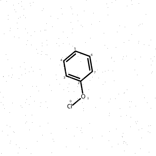 ClOc1cc[c]cc1